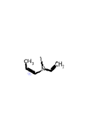 C=CN(I)/C=C\C